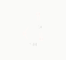 CCO[SiH3].O=[Si]=O